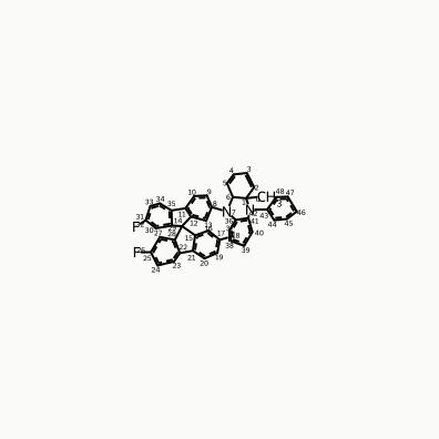 CC12C=CC=CC1N(c1ccc3c(c1)C1(c4cc(F)ccc4-c4ccc(F)cc41)c1cc(F)ccc1-3)c1ccccc1N2c1ccccc1